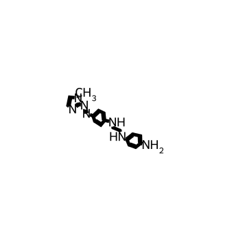 Cn1ccnc1/N=N/c1ccc(NCCNc2ccc(N)cc2)cc1